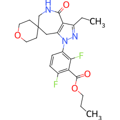 CCCOC(=O)c1c(F)ccc(-n2nc(CC)c3c2CC2(CCOCC2)CNC3=O)c1F